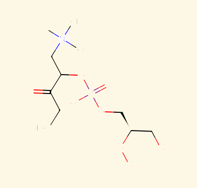 CCCCCCCCCCCC(=O)C(C[N+](C)(C)C)OP(=O)([O-])OC[C@@H](CO)OO